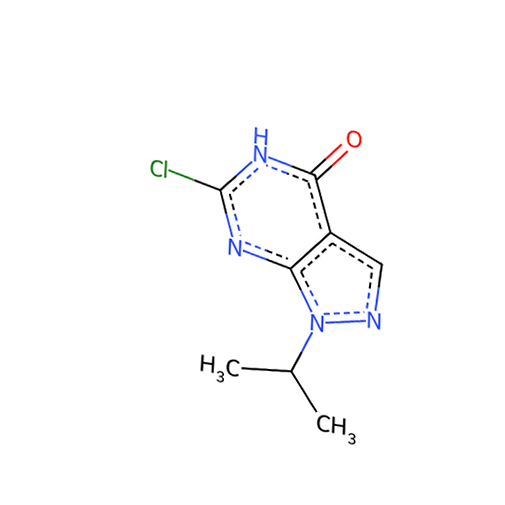 CC(C)n1ncc2c(=O)[nH]c(Cl)nc21